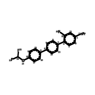 CCCc1ccc(-c2ccc(-c3ccc(OC(F)F)cc3)cc2)c(F)c1